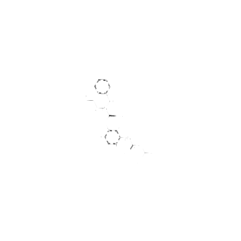 CC(C)OC(=O)Nc1cccc(OC(=O)N(CCO)Cc2ccccc2)c1